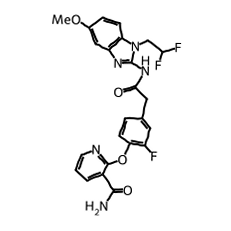 COc1ccc2c(c1)nc(NC(=O)Cc1ccc(Oc3ncccc3C(N)=O)c(F)c1)n2CC(F)F